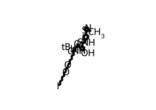 Cc1ncsc1-c1ccc(NC(=O)[C@@H]2C[C@@H](O)CN2C(=O)C(NC(=O)CCCCCOCCOCCCCCCI)C(C)(C)C)cc1